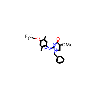 COc1cn(CC2=CC=CCC2)c(Nc2cc(C)c(OCC(F)(F)F)cc2C)nc1=O